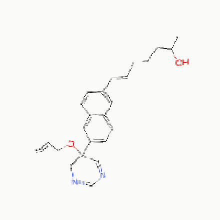 C=CCOC1(c2ccc3cc(C=CCCCC(C)O)ccc3c2)C=NC=NC1